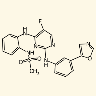 CS(=O)(=O)Nc1ccccc1Nc1nc(Nc2cccc(-c3cnco3)c2)ncc1F